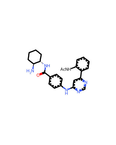 CC(=O)Nc1ccccc1-c1cc(Nc2ccc(C(=O)N[C@H]3CCCC[C@@H]3N)cc2)ncn1